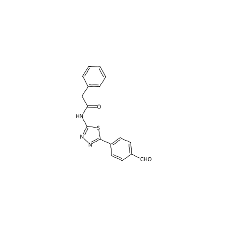 O=Cc1ccc(-c2nnc(NC(=O)Cc3ccccc3)s2)cc1